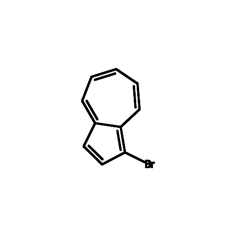 Brc1ccc2cccccc1-2